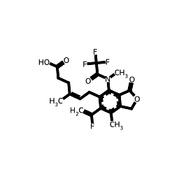 C=C(F)c1c(C)c2c(c(N(C)C(=O)C(F)(F)F)c1CC=C(C)CCC(=O)O)C(=O)OC2